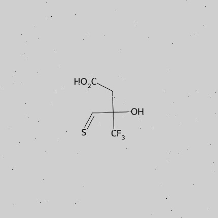 O=C(O)CC(O)(C=S)C(F)(F)F